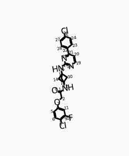 O=C(COc1ccc(Cl)c(F)c1)NC12CC(Nc3nccc(-c4ccc(Cl)cc4)n3)(C1)C2